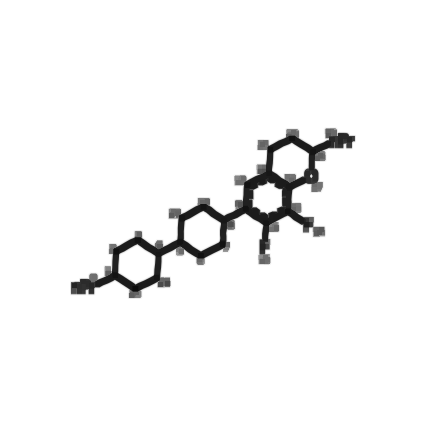 CCCC1CCC(C2CCC(c3cc4c(c(F)c3F)OC(CCC)CC4)CC2)CC1